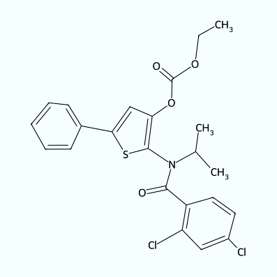 CCOC(=O)Oc1cc(-c2ccccc2)sc1N(C(=O)c1ccc(Cl)cc1Cl)C(C)C